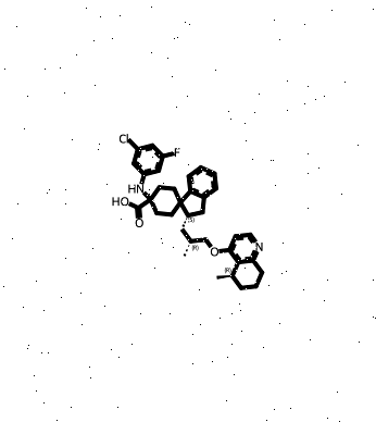 C[C@@H](COc1ccnc2c1[C@H](C)CCC2)C[C@H]1Cc2ccccc2C12CCC(Nc1cc(F)cc(Cl)c1)(C(=O)O)CC2